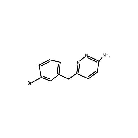 Nc1ccc(Cc2cccc(Br)c2)nn1